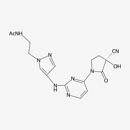 CC(=O)NCCn1cc(Nc2nccc(N3CC[C@](O)(C#N)C3=O)n2)cn1